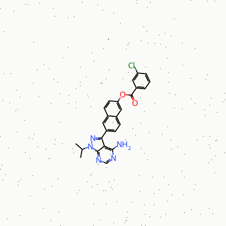 CC(C)n1nc(-c2ccc3cc(OC(=O)c4cccc(Cl)c4)ccc3c2)c2c(N)ncnc21